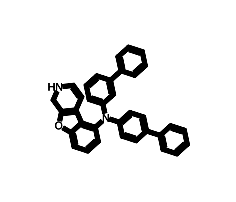 C1=Cc2c(oc3cccc(N(c4ccc(-c5ccccc5)cc4)c4cccc(-c5ccccc5)c4)c23)CN1